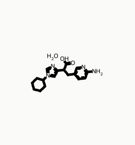 Nc1ccc(CC(C(=O)O)c2cn(C3CCCCC3)cn2)cn1.O